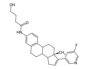 C[C@]12CCC3c4ccc(NC(=O)CCCO)cc4CCC3C1CC=C2c1cncc(F)c1